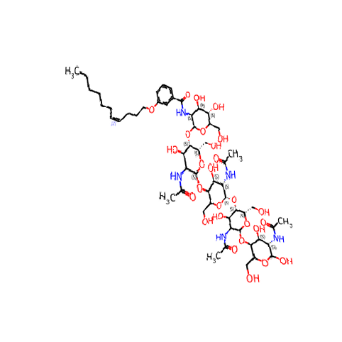 CCCCCC/C=C\CCCOc1cccc(C(=O)N[C@@H]2C(O[C@H]3C(O)C(NC(C)=O)[C@H](OC4C(CO)O[C@@H](O[C@H]5C(O)C(NC(C)=O)C(OC6C(CO)OC(O)[C@@H](NC(C)=O)[C@@H]6O)O[C@H]5CO)[C@@H](NC(C)=O)[C@@H]4O)O[C@H]3CO)OC(CO)[C@@H](O)[C@@H]2O)c1